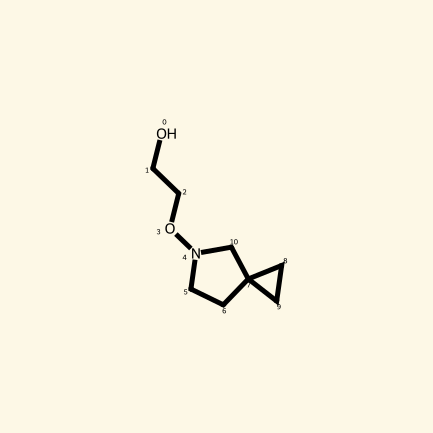 OCCON1CCC2(CC2)C1